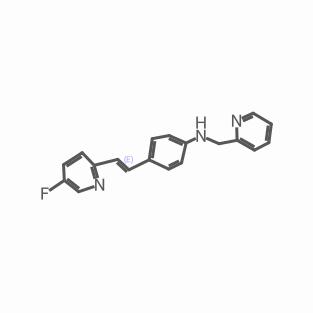 Fc1ccc(/C=C/c2ccc(NCc3ccccn3)cc2)nc1